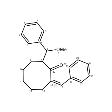 COC(c1ccccc1)C1CCCCC/C(=C/c2ccccc2)C1=O